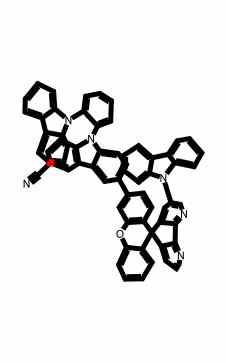 N#Cc1ccc2c(c1)c1cc(-c3ccc4c(c3)Oc3ccccc3C43c4cccnc4-c4ncc(-n5c6ccccc6c6ccccc65)cc43)ccc1n2-c1ccccc1-n1c2ccccc2c2ccccc21